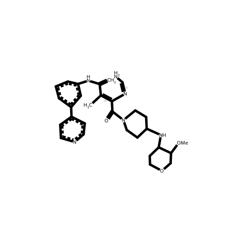 C=C(Nc1cccc(-c2ccncc2)c1)/C(C)=C(\N=C/N)C(=O)N1CCC(NC2CCOCC2OC)CC1